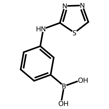 OB(O)c1cccc(Nc2nncs2)c1